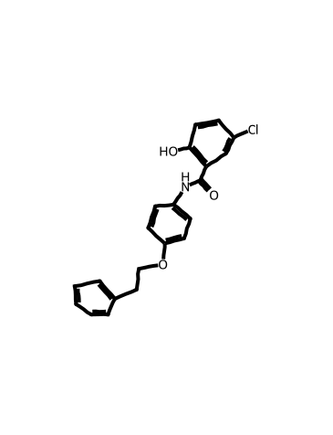 O=C(Nc1ccc(OCCc2ccccc2)cc1)c1cc(Cl)ccc1O